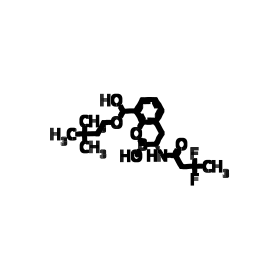 CC(C)(C)CCOC(O)c1cccc2c1OB(O)[C@@H](NC(=O)CC(C)(F)F)C2